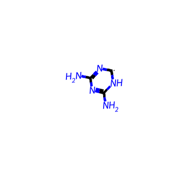 NC1=N[CH]NC(N)=N1